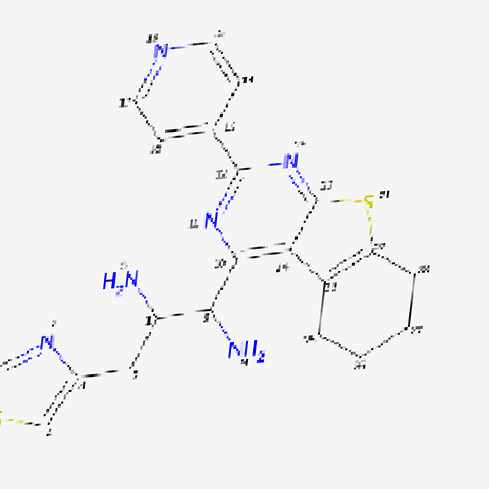 NC(Cc1cscn1)C(N)c1nc(-c2ccncc2)nc2sc3c(c12)CCCC3